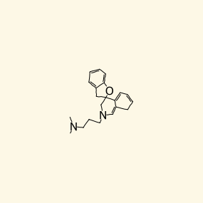 CN(C)CCCN1C=C2CC=CC=C2C2(Cc3ccccc3O2)C1